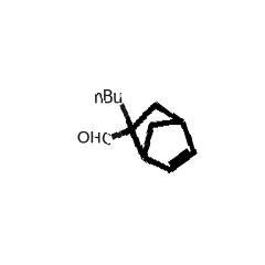 CCCCC1(C=O)CC2C=CC1C2